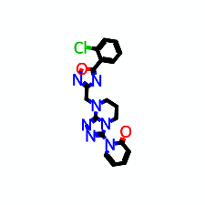 O=c1ccccn1-c1nnc2n1CCCN2Cc1noc(-c2ccccc2Cl)n1